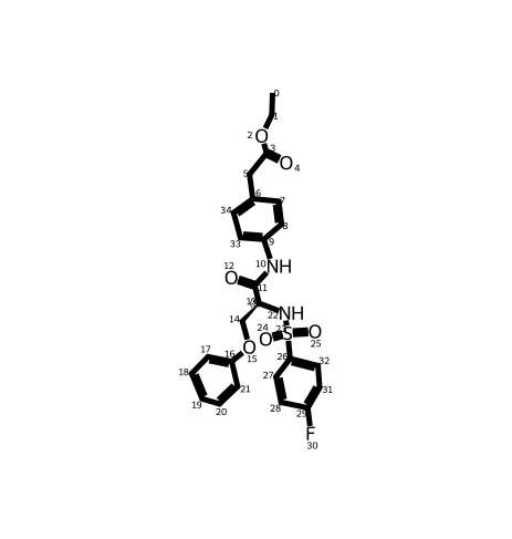 CCOC(=O)Cc1ccc(NC(=O)[C@H](COc2ccccc2)NS(=O)(=O)c2ccc(F)cc2)cc1